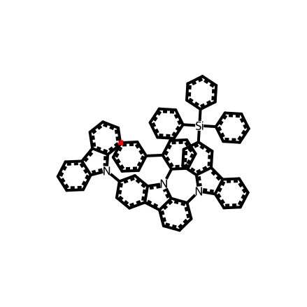 c1ccc(-c2ccccc2-n2c3cc(-n4c5ccccc5c5ccccc54)ccc3c3cccc(-n4c5ccccc5c5cc([Si](c6ccccc6)(c6ccccc6)c6ccccc6)ccc54)c32)cc1